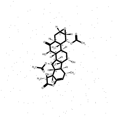 CC(=O)O[C@@H]1[C@H]2[C@@H]3[C@@H](O)C(=O)[C@H]4C[C@@H]5O[C@@H]5[C@H](OC(C)=O)[C@]4(C)[C@H]3C[C@H](O)[C@]2(C)[C@@H]2[C@@H]1[C@]1(C)C(=C[C@H]2C)OC(=O)[C@@]1(C)O